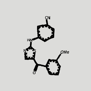 COc1cccc(C(=O)c2cnc(Nc3cccc(C#N)c3)s2)c1